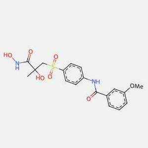 COc1cccc(C(=O)Nc2ccc(S(=O)(=O)CC(C)(O)C(=O)NO)cc2)c1